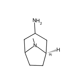 CN1C2CC[C@@H]1CC(N)C2